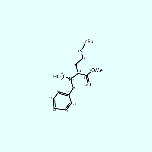 CCCCSCC[C@@H](C(=O)OC)N(Cc1ccccc1)C(=O)O